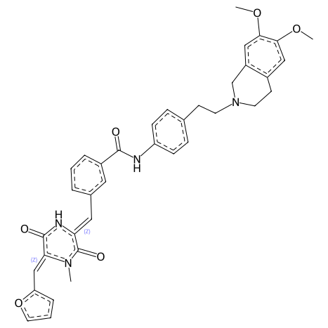 COc1cc2c(cc1OC)CN(CCc1ccc(NC(=O)c3cccc(/C=c4\[nH]c(=O)/c(=C/c5ccco5)n(C)c4=O)c3)cc1)CC2